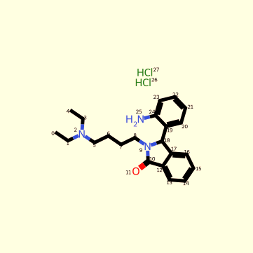 CCN(CC)CCCCN1C(=O)c2ccccc2C1c1ccccc1N.Cl.Cl